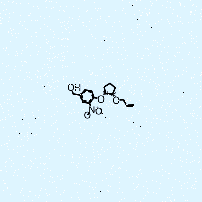 C=CCO[C@@H]1CCC[C@H]1Oc1ccc(CO)cc1[N+](=O)[O-]